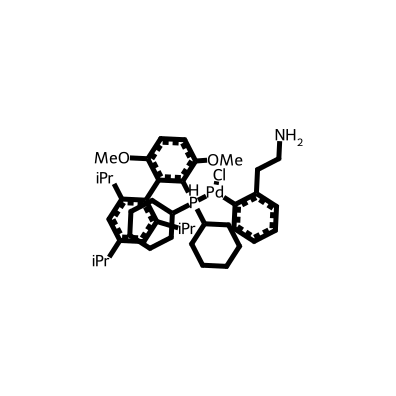 COc1ccc(OC)c([PH](C2CCCCC2)(C2CCCCC2)[Pd]([Cl])[c]2ccccc2CCN)c1-c1c(C(C)C)cc(C(C)C)cc1C(C)C